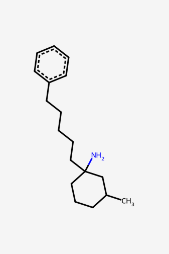 CC1CCCC(N)(CCCCCc2ccccc2)C1